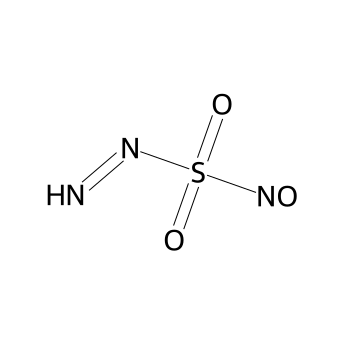 N=NS(=O)(=O)N=O